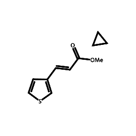 C1CC1.COC(=O)C=Cc1ccsc1